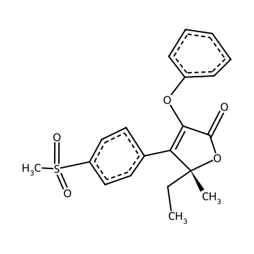 CC[C@@]1(C)OC(=O)C(Oc2ccccc2)=C1c1ccc(S(C)(=O)=O)cc1